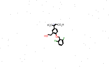 C/C(=C/C(=O)O)c1ccc(OCc2c(F)cccc2F)c(CCO)c1